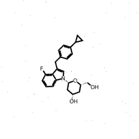 OC[C@@H]1C[C@H](O)C[C@H](n2cc(Cc3ccc(C4CC4)cc3)c3c(F)cccc32)O1